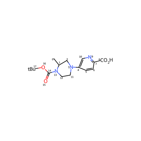 CC1CN(c2ccc(C(=O)O)nc2)CCN1C(=O)OC(C)(C)C